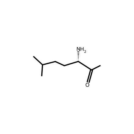 CC(=O)[C@@H](N)CCC(C)C